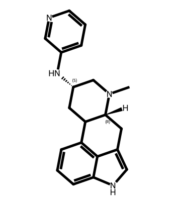 CN1C[C@@H](Nc2cccnc2)CC2c3cccc4[nH]cc(c34)C[C@H]21